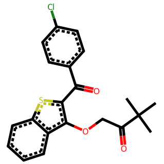 CC(C)(C)C(=O)COc1c(C(=O)c2ccc(Cl)cc2)sc2ccccc12